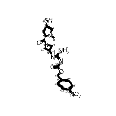 CN1C[C@@H](S)C[C@H]1C(=O)N1CC(NC(N)=NC(=O)OCc2ccc([N+](=O)[O-])cc2)C1